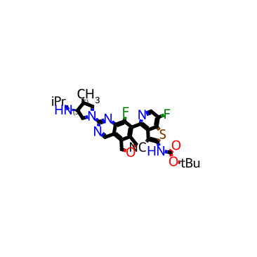 CC(C)N[C@@H]1CN(c2ncc3c4c(c(-c5ncc(F)c6sc(NC(=O)OC(C)(C)C)c(C#N)c56)c(F)c3n2)COC4)C[C@@H]1C